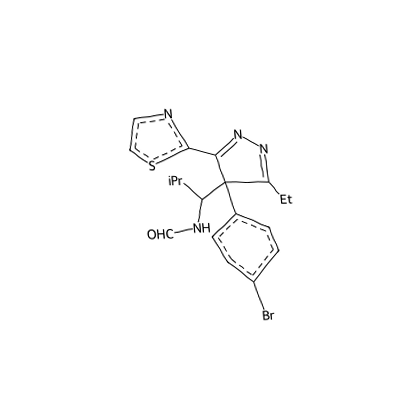 CCC1=NN=C(c2nccs2)C1(c1ccc(Br)cc1)C(NC=O)C(C)C